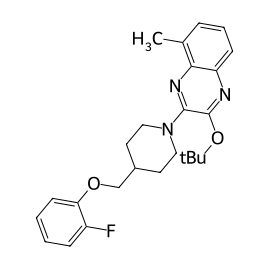 Cc1cccc2nc(OC(C)(C)C)c(N3CCC(COc4ccccc4F)CC3)nc12